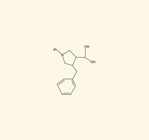 CC(C)N1CC(Cc2ccccc2)C(C(O)O)C1